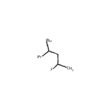 CCC(C)C(CC(C)F)C(C)C